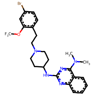 CN(C)c1nc(NC2CCN(CCc3ccc(Br)cc3OC(F)(F)F)CC2)nc2ccccc12